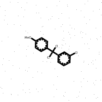 COc1ccc(C(Cl)(Cl)c2cccc(Cl)c2)cc1